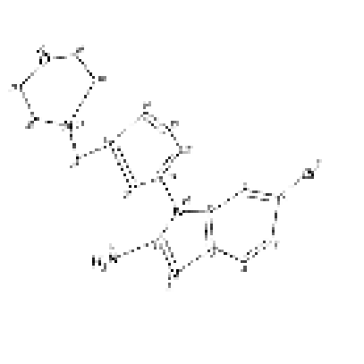 Nc1nc2ccc(Br)cc2n1-c1cccc(CN2CCOCC2)c1